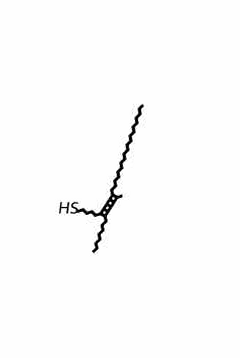 CCCCCCCCCCCCCCCCCCCCC1C(C)C2C1C1C3C(CCCCCS)C(CCCCCCCC)C3C21